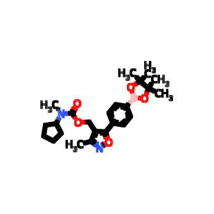 Cc1noc(-c2ccc(B3OC(C)(C)C(C)(C)O3)cc2)c1COC(=O)N(C)C1CCCC1